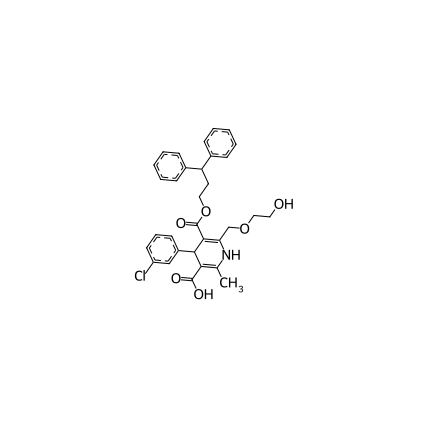 CC1=C(C(=O)O)C(c2cccc(Cl)c2)C(C(=O)OCCC(c2ccccc2)c2ccccc2)=C(COCCO)N1